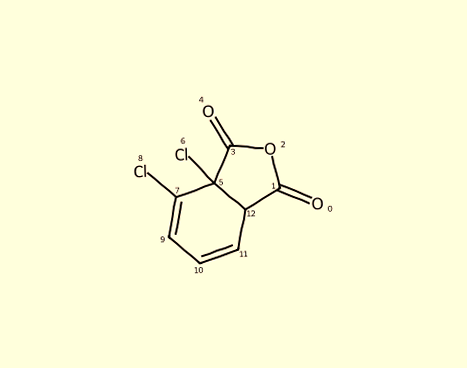 O=C1OC(=O)C2(Cl)C(Cl)=CC=CC12